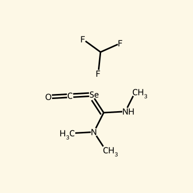 CNC(=[Se]=C=O)N(C)C.FC(F)F